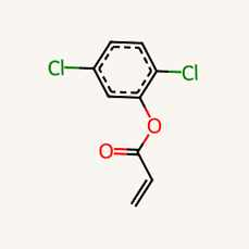 C=CC(=O)Oc1cc(Cl)ccc1Cl